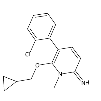 Cn1c(OCC2CC2)c(-c2ccccc2Cl)ccc1=N